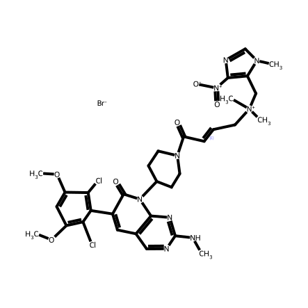 CNc1ncc2cc(-c3c(Cl)c(OC)cc(OC)c3Cl)c(=O)n(C3CCN(C(=O)/C=C/C[N+](C)(C)Cc4c([N+](=O)[O-])ncn4C)CC3)c2n1.[Br-]